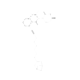 Cc1nc2cccc(C#CCCCCCCN3CC4CC(C3)O4)c2c(=O)n1C1CCC(=O)NC1=O